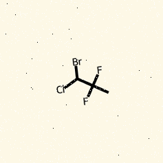 CC(F)(F)C(Cl)Br